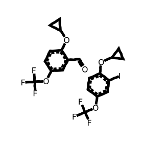 FC(F)(F)Oc1ccc(OC2CC2)c(I)c1.O=Cc1cc(OC(F)(F)F)ccc1OC1CC1